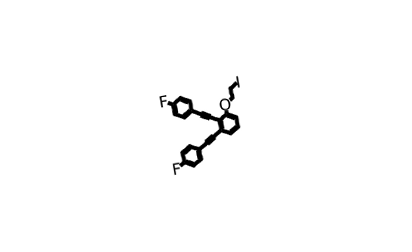 Fc1ccc(C#Cc2cccc(OCCI)c2C#Cc2ccc(F)cc2)cc1